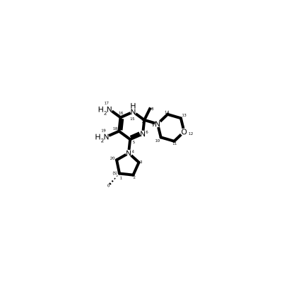 C[C@H]1CCN(C2=NC(C)(N3CCOCC3)NC(N)=C2N)C1